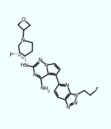 Nc1nc(N[C@H]2CCN(C3COC3)C[C@H]2F)nn2ccc(-c3ccc4nnn(CCF)c4n3)c12